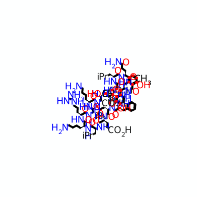 CC[C@H](C)[C@H](NC(=O)[C@H](CCCNC(=N)N)NC(=O)[C@H](CCCCN)NC(=O)[C@H](CC(C)C)NC(=O)[C@H](CCC(=O)O)NC(=O)[C@H](CC(N)=O)NC(=O)[C@H](Cc1ccccc1)NC(=O)[C@H](CC(=O)O)NC(=O)[C@H](Cc1ccccc1)NC(=O)[C@@H](NC(=O)[C@H](CCC(N)=O)NC(=O)[C@H](CC(C)C)NC(=O)[C@H](Cc1ccc(O)cc1)NC(=O)[C@@H](N)C(C)C)[C@@H](C)O)C(=O)N[C@@H](CCCCN)C(=O)N[C@H](C(=O)O)[C@@H](C)O